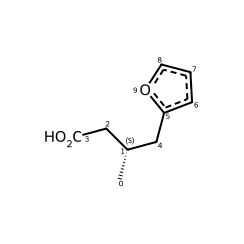 C[C@H](CC(=O)O)Cc1ccco1